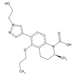 CCCOc1c(-c2cnn(CCO)c2)ccc2c1CC[C@H](C)N2C(=O)O